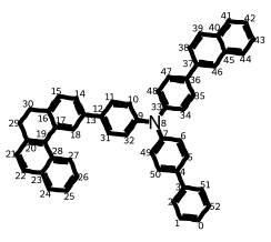 c1ccc(-c2ccc(N(c3ccc(-c4ccc5c(c4)-c4c(ccc6ccccc46)CC5)cc3)c3ccc(-c4ccc5ccccc5c4)cc3)cc2)cc1